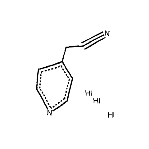 I.I.I.N#CCc1ccncc1